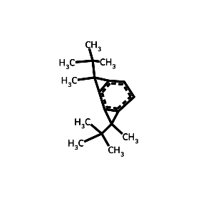 CC(C)(C)C1(C)c2ccc3c(c21)C3(C)C(C)(C)C